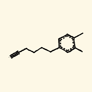 [C]#CCCCCc1ccc(C)c(C)c1